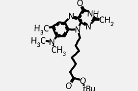 C=c1nc2c(c(=O)[nH]1)=Nc1cc(C)c(N(C)C)cc1N2CCCCCCC(=O)OC(C)(C)C